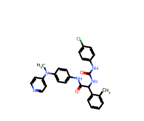 Cc1ccccc1C(NC(=O)Nc1ccc(Cl)cc1)C(=O)Nc1ccc(N(C)c2ccncc2)cc1